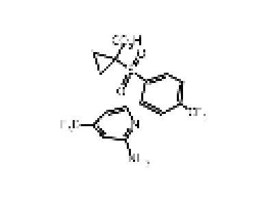 Nc1cc(C(F)(F)F)ccn1.O=C(O)C1(S(=O)(=O)c2ccc(C(F)(F)F)cc2)CC1